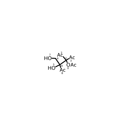 CC(=O)OC(C(C)=O)(C(C)=O)C(O)(CO)C(C)=O